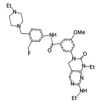 CCNc1ncc2c(n1)N(CC)C(=O)N(c1cc(OC)cc(C(=O)Nc3ccc(CN4CCN(CC)CC4)c(CF)c3)c1)C2